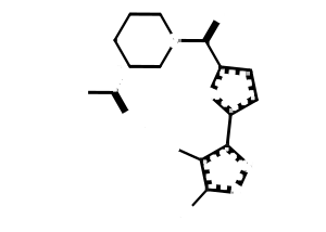 C=C(CCC)[C@@H]1CCCN(C(=O)c2ccc(-c3noc(C(F)(F)F)c3C)s2)C1